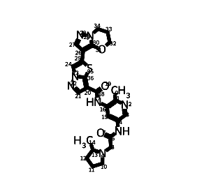 Cc1ncc(NC(=O)CN2CCCC2C)cc1NC(=O)c1cnn2cc(-c3cnn4c3OCCC4)sc12